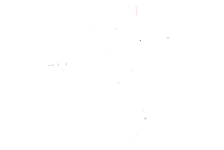 O=C(O)c1ccc(O)c(C23CC4CC(CC(C4)C2)C3)c1C#Cc1ccccc1